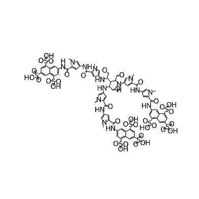 Cn1cc(NC(=O)c2cc(NC(C=O)C(C(C=O)Nc3cc(C(=O)Nc4cc(C(=O)Nc5cc(S(=O)(=O)O)c6cc(S(=O)(=O)O)cc(S(=O)(=O)O)c6c5)n(C)c4)n(C)c3)C(C=O)Nc3cc(C(=O)Nc4cc(C(=O)Nc5cc(S(=O)(=O)O)c6cc(S(=O)(=O)O)cc(S(=O)(=O)O)c6c5)n(C)c4)n(C)c3)cn2C)cc1C(=O)Nc1cc(S(=O)(=O)O)c2cc(S(=O)(=O)O)cc(S(=O)(=O)O)c2c1